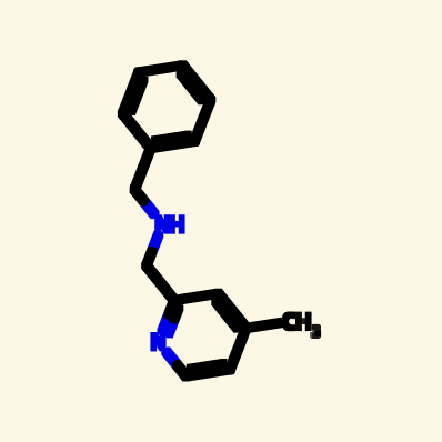 Cc1ccnc(CNCc2ccccc2)c1